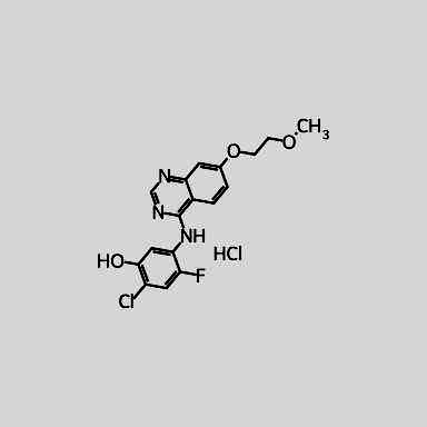 COCCOc1ccc2c(Nc3cc(O)c(Cl)cc3F)ncnc2c1.Cl